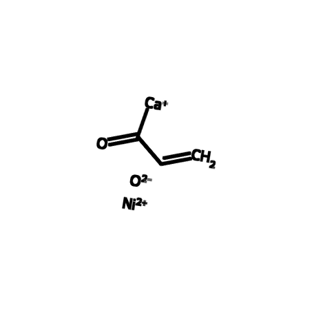 C=C[C](=O)[Ca+].[Ni+2].[O-2]